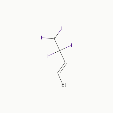 CCC=CC(I)(I)[C](I)I